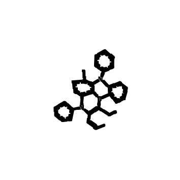 C/C=C\C1=C(CC)B2c3ccccc3N(c3ccccc3)c3c(C)ccc(c32)N1c1ccccc1